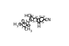 Cc1cn(C)c(=O)n(CCN2CCC(Cc3c[nH]c4cc(C#N)ccc34)C2)c1=O.Cl